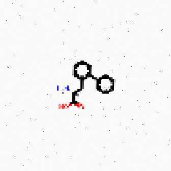 N[C@H](Cc1ccccc1-c1ccccc1)C(=O)O